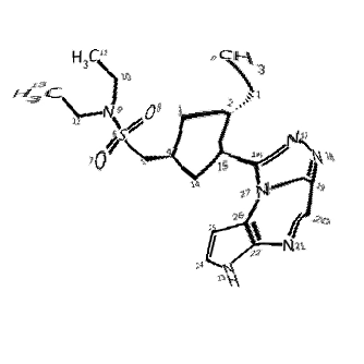 CC[C@H]1C[C@H](CS(=O)(=O)N(CC)CC)C[C@@H]1c1nnc2cnc3[nH]ccc3n12